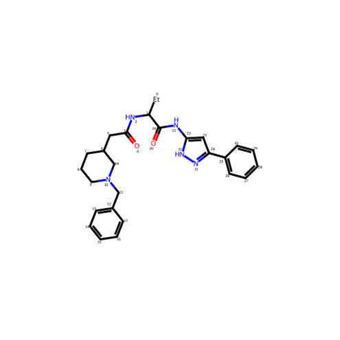 CCC(NC(=O)CC1CCCN(Cc2ccccc2)C1)C(=O)Nc1cc(-c2ccccc2)n[nH]1